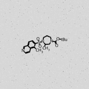 Cc1c(S(=O)(=O)N2CCCN(C(=O)OC(C)(C)C)CC2C)ccc2cnccc12